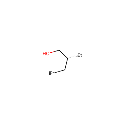 CC[C@@H](CO)CC(C)C